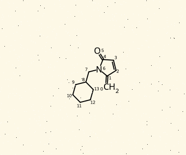 C=C1C=CC(=O)N1CC1CCCCC1